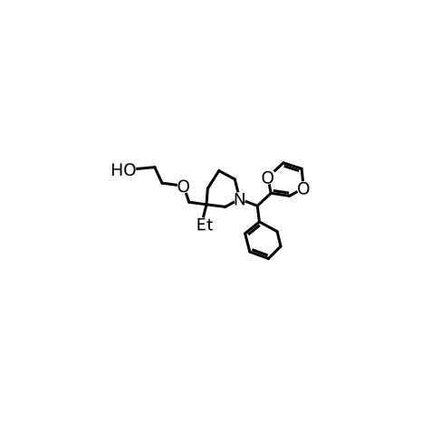 CCC1(COCCO)CCCN(C(C2=CC=CCC2)C2=COC=CO2)C1